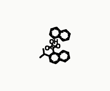 CC(C)c1ccc2ccccc2c1S(=O)(=O)O.c1ccc2ccccc2c1